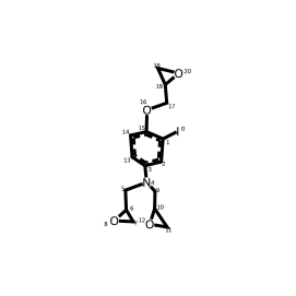 Ic1cc(N(CC2CO2)CC2CO2)ccc1OCC1CO1